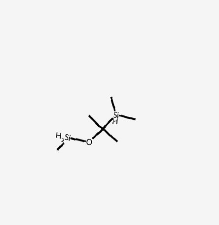 C[SiH2]OC(C)(C)[SiH](C)C